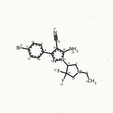 CCN1CC(n2nc(-c3ccc(Br)cc3)c(C#N)c2N)C(F)(F)C1